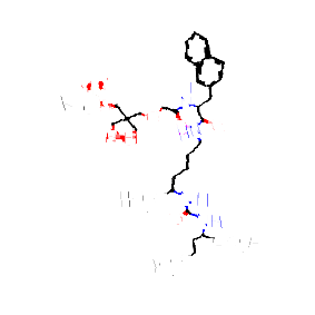 CS(=O)(=O)OCC(CO)(CO)COCC(=O)NC(Cc1ccc2ccccc2c1)C(=O)NCCCCC(NC(=O)NC(CCC(=O)O)C(=O)O)C(=O)O